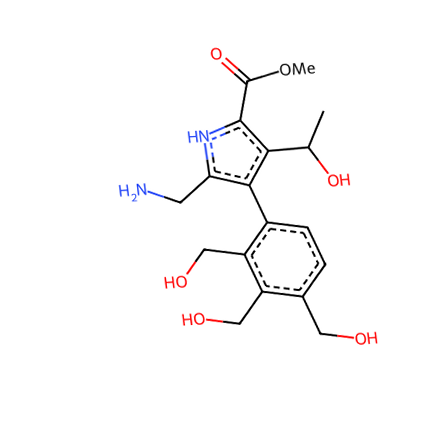 COC(=O)c1[nH]c(CN)c(-c2ccc(CO)c(CO)c2CO)c1C(C)O